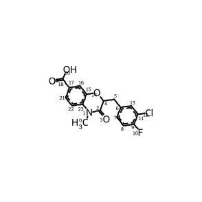 CN1C(=O)C(Cc2ccc(F)c(Cl)c2)Oc2cc(C(=O)O)ccc21